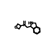 c1ccc2c(c1)CNC2CNC1COC1